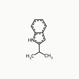 CC(C)c1cc2ccccc2[nH]1